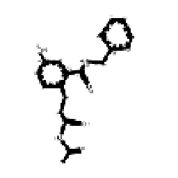 C=C(C)OC(=O)CCc1ccc(O)cc1C(=O)NCc1ccccc1